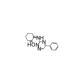 O[C@@H]1CCCC[C@H]1Nc1nncc(-c2ccccc2)n1